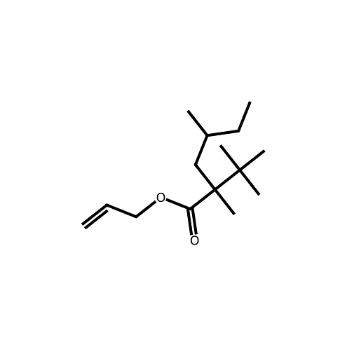 C=CCOC(=O)C(C)(CC(C)CC)C(C)(C)C